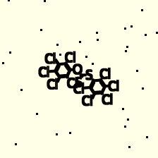 S=C(Oc1c(Cl)c(Cl)c(Cl)c(Cl)c1Cl)Sc1c(Cl)c(Cl)c(Cl)c(Cl)c1Cl